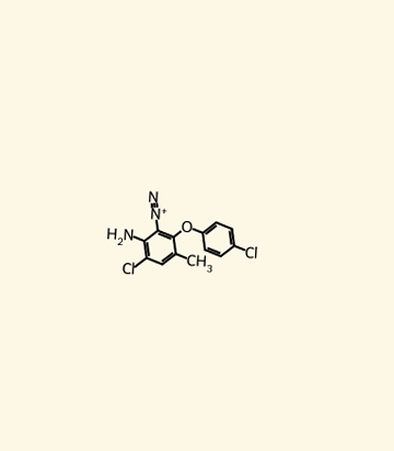 Cc1cc(Cl)c(N)c([N+]#N)c1Oc1ccc(Cl)cc1